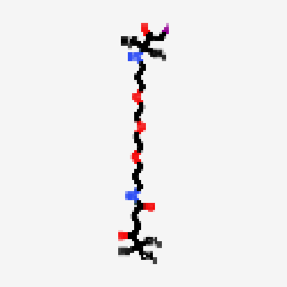 CC(C)C(C)(C)C(=O)CCC(=O)NCCCOCCOCCOCCCNC(C)(C)C(=O)CI